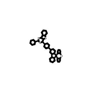 c1ccc(-c2nc(-c3ccc(-c4ccc5c(c4)-c4ccccc4C54c5ccccc5Oc5ccccc54)cc3)c3sc4ccccc4c3n2)cc1